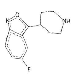 Fc1ccc2noc(C3CCNCC3)c2c1